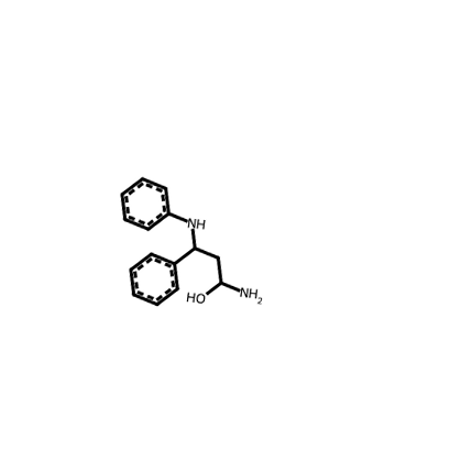 NC(O)CC(Nc1ccccc1)c1ccccc1